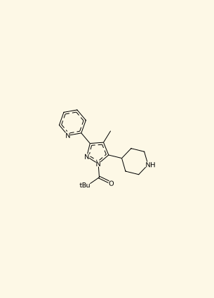 Cc1c(-c2ccccn2)nn(C(=O)C(C)(C)C)c1C1CCNCC1